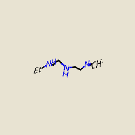 [CH]=NCCNCCNCC